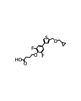 O=C(O)CCCOc1c(F)cc(-c2csc(COCC3CC3)c2)cc1F